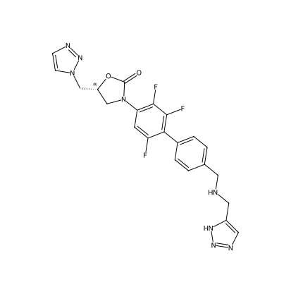 O=C1O[C@@H](Cn2ccnn2)CN1c1cc(F)c(-c2ccc(CNCc3cnn[nH]3)cc2)c(F)c1F